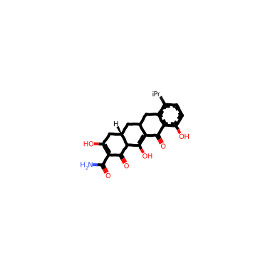 CC(C)c1ccc(O)c2c1CC1C[C@H]3CC(O)=C(C(N)=O)C(=O)C3C(O)=C1C2=O